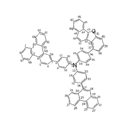 c1ccc(-c2ccc(-c3ccc(N(c4ccc(-c5cc6ccccc6c6ccccc56)cc4)c4ccc(-c5cccc6oc7c8ccccc8ccc7c56)cc4)cc3)cc2-c2ccccc2)cc1